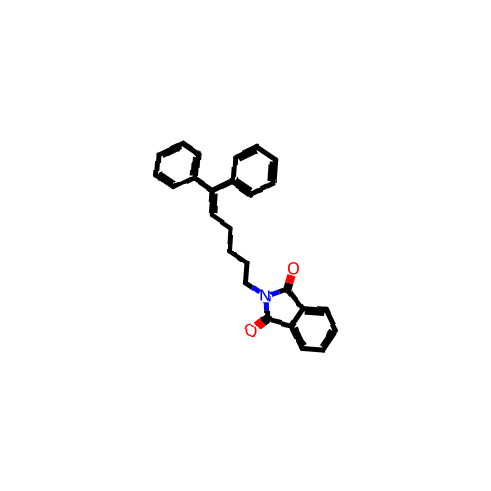 O=C1c2ccccc2C(=O)N1CCCCC=C(c1ccccc1)c1ccccc1